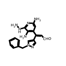 NNc1nc(N)cc(/C(=C/C=O)c2cnn(Cc3ccccc3)c2)c1N